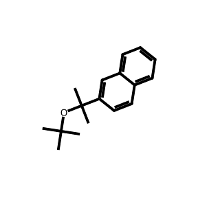 CC(C)(C)OC(C)(C)c1ccc2ccccc2c1